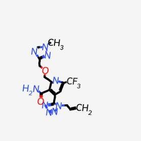 C=CCn1nnnc1-c1cc(C(F)(F)F)nc(COCc2ncn(C)n2)c1C(N)=O